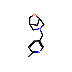 Ic1ccc(CN2CC3COC(C3)C2)cn1